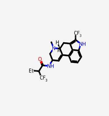 CCC(C(=O)NC1C=C2c3cccc4[nH]c(C(F)(F)F)c(c34)C[C@H]2N(C)C1)C(F)(F)F